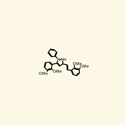 COc1cccc(C=CC2C=C(c3cccc(OC)c3OC)N(c3ccccc3)N2)c1OC